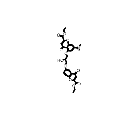 CCOC(=O)c1cc(=O)c2cc(OCC(O)COc3cc(N(C)C)cc4oc(C(=O)OCC)cc(=O)c34)ccc2o1